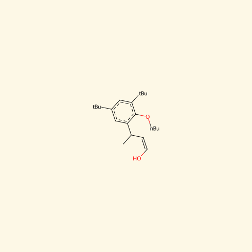 CCCCOc1c(C(C)/C=C\O)cc(C(C)(C)C)cc1C(C)(C)C